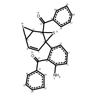 Nc1cccc(C23C=CC4SC4C2(C(=O)c2ccccc2)S3)c1C(=O)c1ccccc1